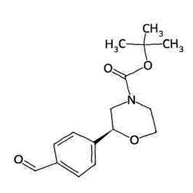 CC(C)(C)OC(=O)N1CCO[C@@H](c2ccc(C=O)cc2)C1